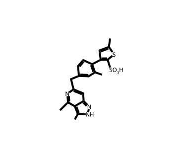 Cc1cc(-c2ccc(Cc3cc4n[nH]c(C)c4c(C)n3)cc2C)c(S(=O)(=O)O)s1